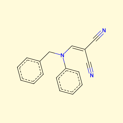 N#CC(C#N)=CN(Cc1ccccc1)c1ccccc1